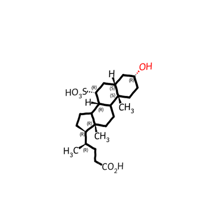 C[C@H](CCC(=O)O)[C@H]1CCC2[C@H]3C(CC[C@@]21C)[C@@]1(C)CC[C@@H](O)C[C@H]1C[C@H]3S(=O)(=O)O